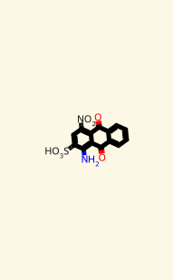 Nc1c(S(=O)(=O)O)cc([N+](=O)[O-])c2c1C(=O)c1ccccc1C2=O